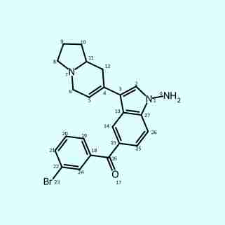 Nn1cc(C2=CCN3CCCC3C2)c2cc(C(=O)c3cccc(Br)c3)ccc21